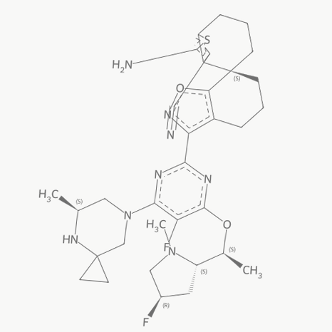 C[C@H](Oc1nc(-c2noc3c2CCC[C@@]32CCCc3sc(N)c(C#N)c32)nc(N2C[C@H](C)NC3(CC3)C2)c1F)[C@@H]1C[C@@H](F)CN1C